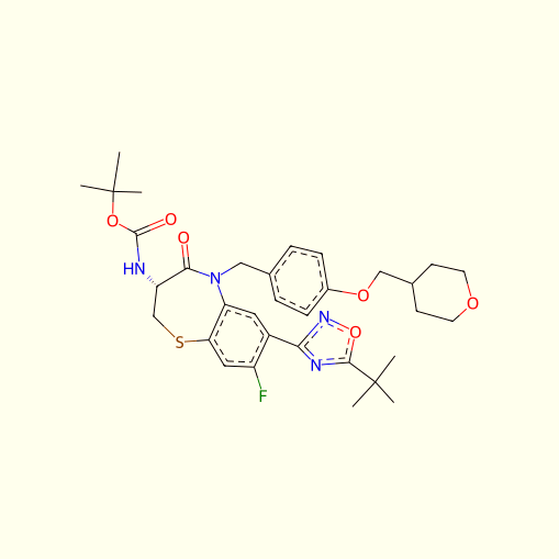 CC(C)(C)OC(=O)N[C@H]1CSc2cc(F)c(-c3noc(C(C)(C)C)n3)cc2N(Cc2ccc(OCC3CCOCC3)cc2)C1=O